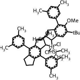 COc1c(C(C)(C)C)cc2c(c1-c1cc(C)cc(C)c1)C=C(C)[CH]2[Hf]([Cl])([Cl])([CH]1C(C)=Cc2c(-c3cc(C)cc(C)c3)c3c(c(-c4cc(C)cc(C)c4)c21)CCC3)[SiH](C)C